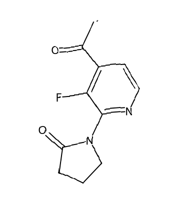 [CH2]C(=O)c1ccnc(N2CCCC2=O)c1F